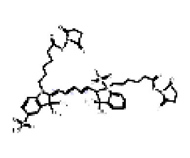 CC1(C)\C(=C/C=C/C=C/C2C(C)(C)c3ccccc3[N+]2(CCCCCC(=O)ON2C(=O)CCC2=O)S(=O)(=O)[O-])N(CCCCCC(=O)ON2C(=O)CCC2=O)c2ccc(S(=O)(=O)O)cc21